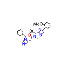 CCC(C)C1c2nc(-c3ccccc3OC)cn2CCN1C(=O)Cc1cncn1Cc1ccccc1